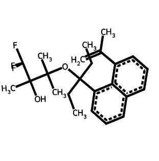 C=C(C)c1cccc2cccc(C(CC)(CC)OC(C)(C)C(C)(O)C(F)(F)F)c12